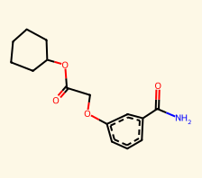 NC(=O)c1cccc(OCC(=O)OC2CCCCC2)c1